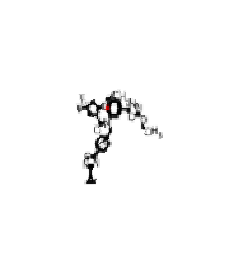 CCOc1nnc(-c2cccc(N(CC34CCC(c5nc(C6CC6)no5)(CC3)CC4)C(=O)C3CC(F)(F)CC3OCC)c2)o1